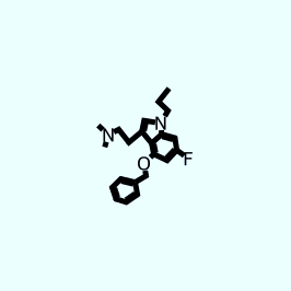 CCCn1cc(CCN(C)C)c2c(OCc3ccccc3)cc(F)cc21